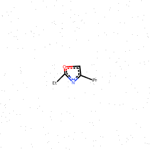 CCc1nc(C(C)C)co1